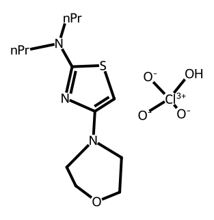 CCCN(CCC)c1nc(N2CCOCC2)cs1.[O-][Cl+3]([O-])([O-])O